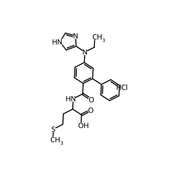 CCN(c1ccc(C(=O)NC(CCSC)C(=O)O)c(-c2ccccc2)c1)c1c[nH]cn1.Cl